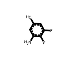 Nc1cc(O)cc(F)c1F